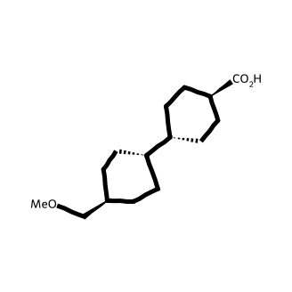 COC[C@H]1CC[C@H]([C@H]2CC[C@H](C(=O)O)CC2)CC1